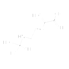 C=C(C)C(=C)OCCNC(C)(C)C